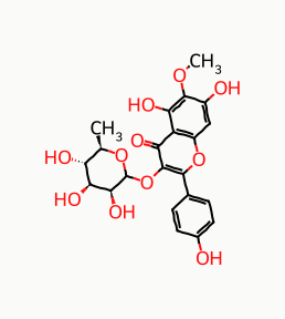 COc1c(O)cc2oc(-c3ccc(O)cc3)c(OC3O[C@H](C)[C@@H](O)[C@H](O)[C@@H]3O)c(=O)c2c1O